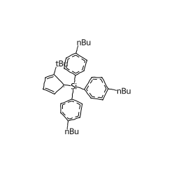 CCCCc1ccc([Si]([C]2C=CC=C2C(C)(C)C)(c2ccc(CCCC)cc2)c2ccc(CCCC)cc2)cc1